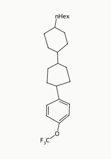 CCCCCCC1CCC(C2CCC(c3ccc(OC(F)(F)F)cc3)CC2)CC1